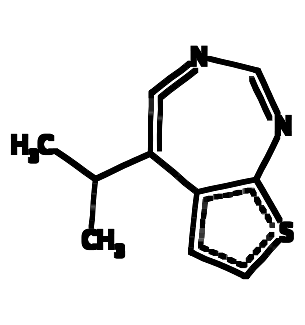 CC(C)C1=C=NC=Nc2sccc21